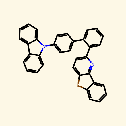 c1ccc(-c2ccc3sc4ccccc4c3n2)c(-c2ccc(-n3c4ccccc4c4ccccc43)cc2)c1